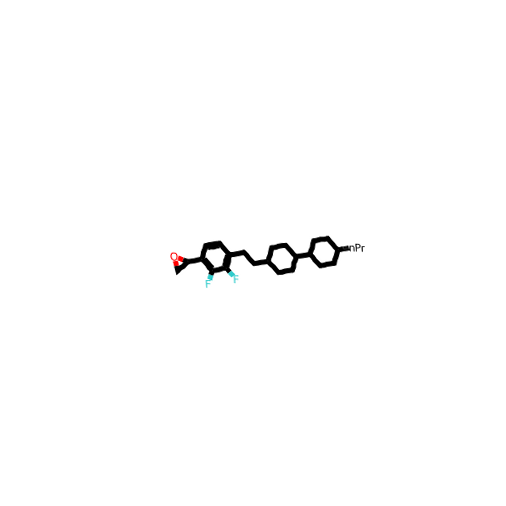 CCCC1CCC(C2CCC(CCc3ccc(C4CO4)c(F)c3F)CC2)CC1